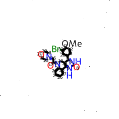 COc1ccc(C2NC(=O)NC3=C2CN(C(=O)CN2CCOCC2)c2ccccc23)cc1Br